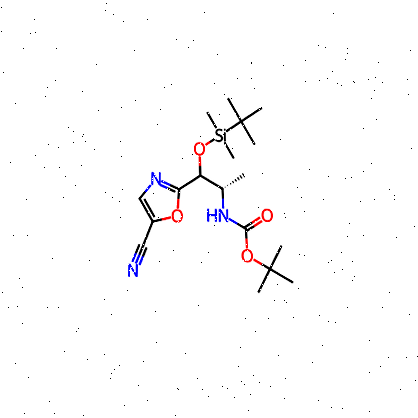 C[C@H](NC(=O)OC(C)(C)C)C(O[Si](C)(C)C(C)(C)C)c1ncc(C#N)o1